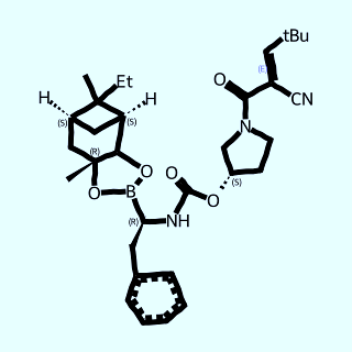 CCC1(C)[C@H]2C[C@@H]1C1OB([C@H](Cc3ccccc3)NC(=O)O[C@H]3CCN(C(=O)/C(C#N)=C/C(C)(C)C)C3)O[C@]1(C)C2